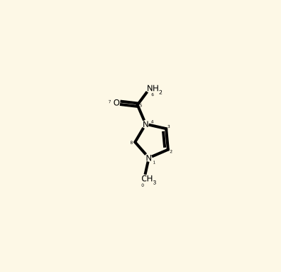 CN1C=CN(C(N)=O)C1